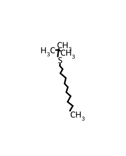 CCCCCCCCCCCCSCC(C)(C)C